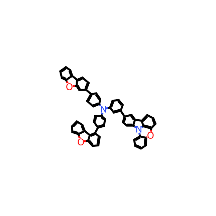 c1cc(-c2ccc3c(c2)c2cccc4c2n3-c2ccccc2O4)cc(N(c2ccc(-c3ccc4c(c3)oc3ccccc34)cc2)c2ccc(-c3cccc4oc5ccccc5c34)cc2)c1